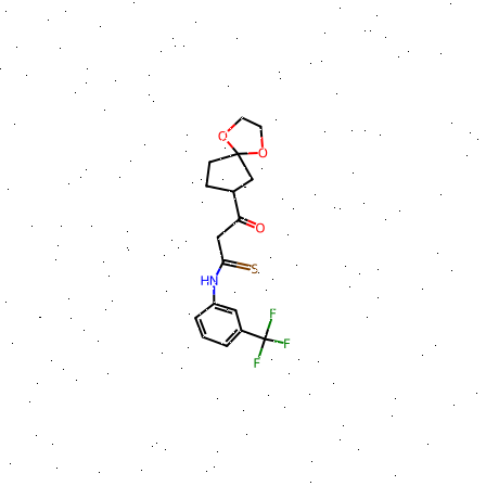 O=C(CC(=S)Nc1cccc(C(F)(F)F)c1)C1CCC2(C1)OCCO2